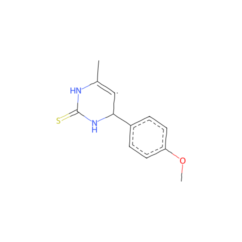 COc1ccc(C2[C]=C(C)NC(=S)N2)cc1